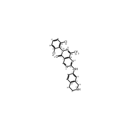 O=c1c2cnc(Nc3ccc4c(c3)CNCC4)nc2c(C(F)(F)F)nn1-c1c(Cl)cccc1Cl